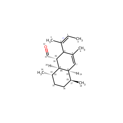 C/C=C(/C)C1C(C)=C[C@@H]2[C@H]([C@@H]1C=O)[C@@H](C)CC[C@@H]2C